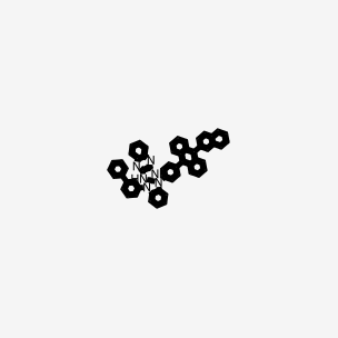 c1ccc(-c2cccc(N3c4ccccc4N(c4ccc(-c5c6ccccc6c(-c6ccc7ccccc7c6)c6ccccc56)cc4)C34Nc3nc5ccccc5nc3N4)c2)cc1